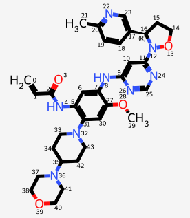 C=CC(=O)Nc1cc(Nc2cc(N3OCC[C@@H]3c3ccc(C)nc3)ncn2)c(OC)cc1N1CCC(N2CCOCC2)CC1